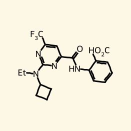 CCN(c1nc(C(=O)Nc2ccccc2C(=O)O)cc(C(F)(F)F)n1)C1CCC1